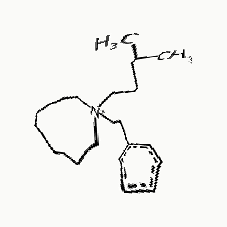 CC(C)CC[N+]1(Cc2ccccc2)CCCCCC1